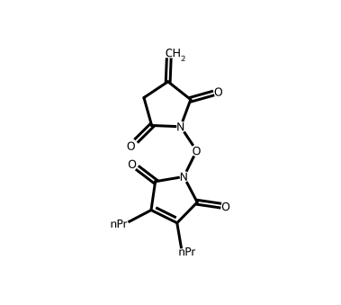 C=C1CC(=O)N(ON2C(=O)C(CCC)=C(CCC)C2=O)C1=O